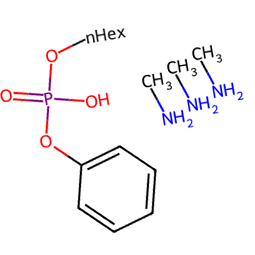 CCCCCCOP(=O)(O)Oc1ccccc1.CN.CN.CN